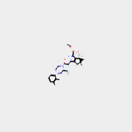 CCOC(=O)C1=NC(CC(=O)N2CCN(c3cccc(C)c3C)CC2C(F)F)C2=C1[C@@H]1C[C@@H]1C2